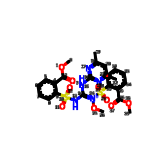 COC(=O)c1ccccc1S(=O)(=O)NC(Nc1nc(C)cc(C)n1)=[N+](OC)S(=O)(=O)c1ccccc1C(=O)OC